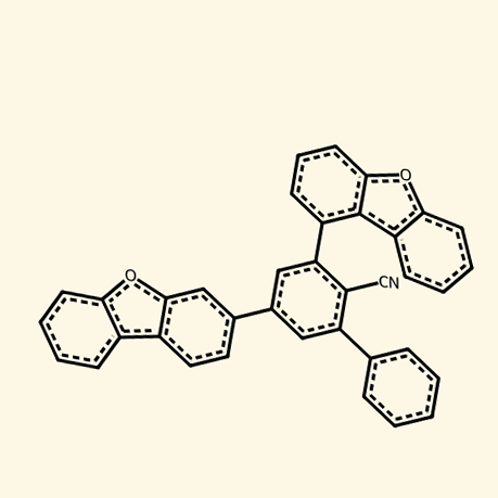 N#Cc1c(-c2ccccc2)cc(-c2ccc3c(c2)oc2ccccc23)cc1-c1cccc2oc3ccccc3c12